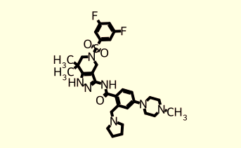 CN1CCN(c2ccc(C(=O)Nc3n[nH]c4c3CN(S(=O)(=O)c3cc(F)cc(F)c3)CC4(C)C)c(CN3CCCC3)c2)CC1